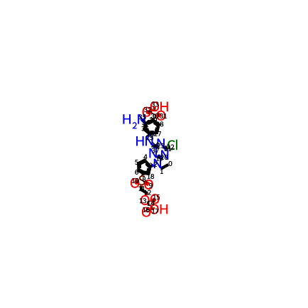 CCN(c1cccc(S(=O)(=O)CCOS(=O)(=O)O)c1)c1nc(Cl)nc(Nc2ccc(S(=O)(=O)O)c(N)c2)n1